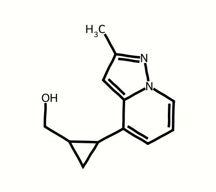 Cc1cc2c(C3CC3CO)cccn2n1